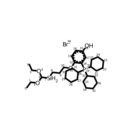 CCOC(OCC)[SiH2]CCCOc1ccc(O)cc1[P+](C1CCCCC1)(C1CCCCC1)C1CCCCC1.[Br-]